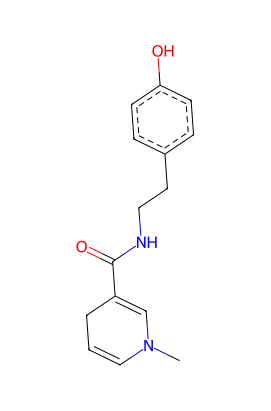 CN1C=CCC(C(=O)NCCc2ccc(O)cc2)=C1